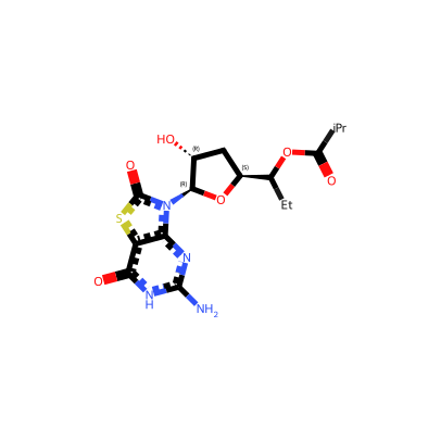 CCC(OC(=O)C(C)C)[C@@H]1C[C@@H](O)[C@H](n2c(=O)sc3c(=O)[nH]c(N)nc32)O1